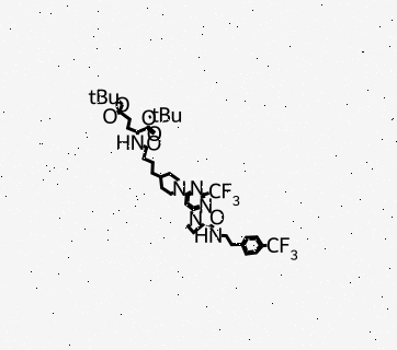 CC(C)(C)OC(=O)CCC(NC(=O)CCCC1CCN(c2cc(N3CC[C@H]3C(=O)NCCc3ccc(C(F)(F)F)cc3)nc(C(F)(F)F)n2)CC1)C(=O)OC(C)(C)C